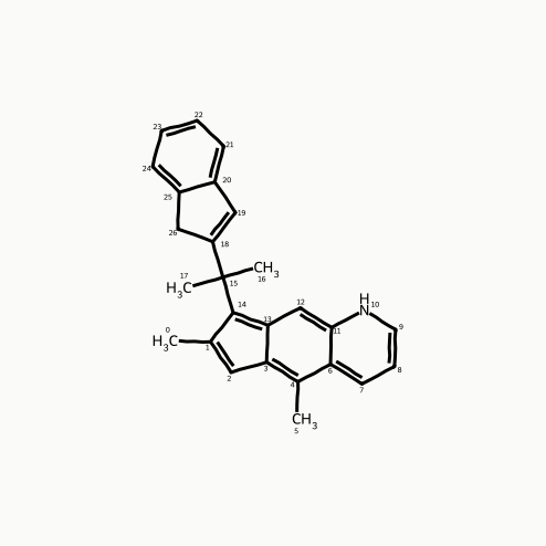 Cc1cc2c(C)c3ccc[nH]c3cc2c1C(C)(C)C1=Cc2ccccc2C1